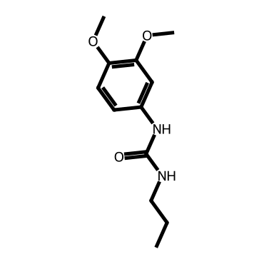 CCCNC(=O)Nc1ccc(OC)c(OC)c1